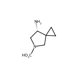 N[C@H]1CN(C(=O)O)CC12CC2